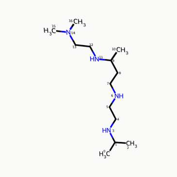 CC(C)NCCNCCC(C)NCCN(C)C